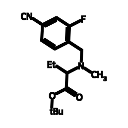 [C-]#[N+]c1ccc(CN(C)C(CC)C(=O)OC(C)(C)C)c(F)c1